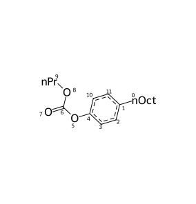 CCCCCCCCc1ccc(OC(=O)OCCC)cc1